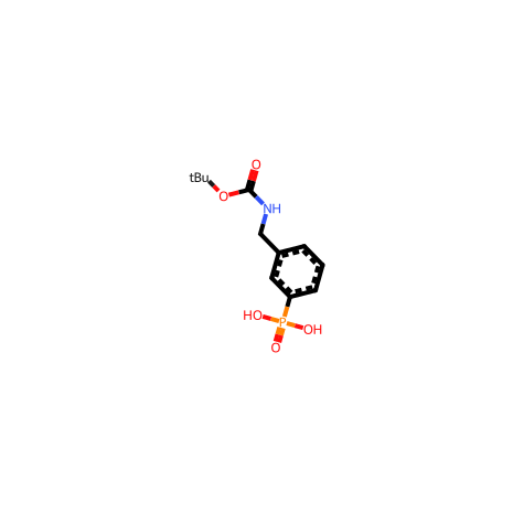 CC(C)(C)OC(=O)NCc1cccc(P(=O)(O)O)c1